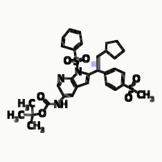 CC(C)(C)OC(=O)Nc1cnc2c(c1)cc(/C(=C/C1CCCC1)c1ccc(S(C)(=O)=O)cc1)n2S(=O)(=O)c1ccccc1